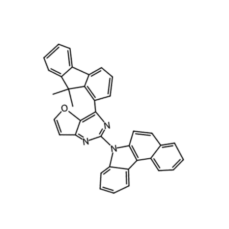 CC1(C)c2ccccc2-c2cccc(-c3nc(-n4c5ccccc5c5c6ccccc6ccc54)nc4ccoc34)c21